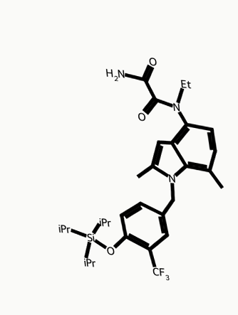 CCN(C(=O)C(N)=O)c1ccc(C)c2c1cc(C)n2Cc1ccc(O[Si](C(C)C)(C(C)C)C(C)C)c(C(F)(F)F)c1